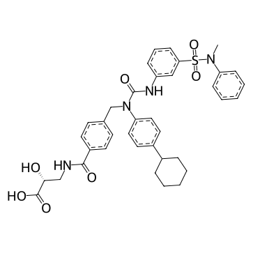 CN(c1ccccc1)S(=O)(=O)c1cccc(NC(=O)N(Cc2ccc(C(=O)NC[C@@H](O)C(=O)O)cc2)c2ccc(C3CCCCC3)cc2)c1